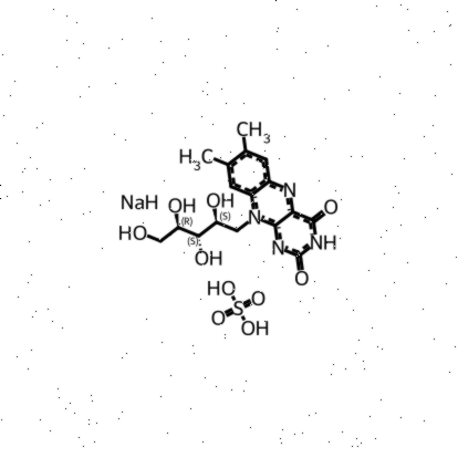 Cc1cc2nc3c(=O)[nH]c(=O)nc-3n(C[C@H](O)[C@H](O)[C@H](O)CO)c2cc1C.O=S(=O)(O)O.[NaH]